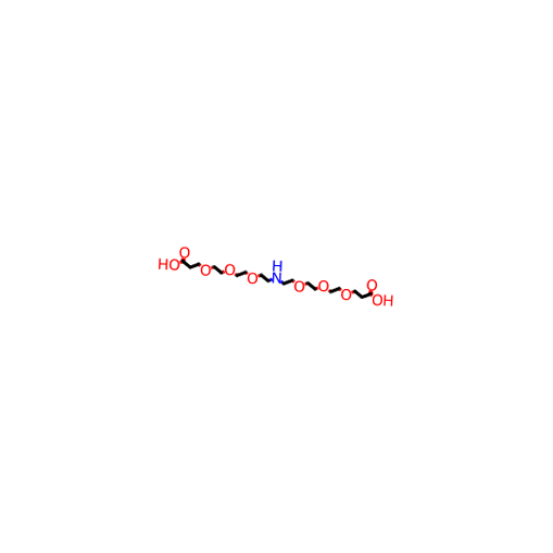 O=C(O)CCOCCOCCOCCNCCOCCOCCOCCC(=O)O